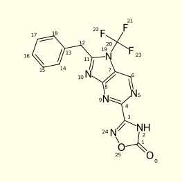 O=c1[nH]c(-c2ncc3c(n2)nc(Cc2ccccc2)n3C(F)(F)F)no1